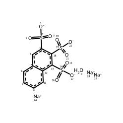 O.O=S(=O)([O-])c1cc2ccccc2c(S(=O)(=O)[O-])c1S(=O)(=O)[O-].[Na+].[Na+].[Na+]